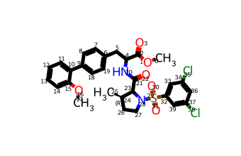 COC(=O)C(Cc1ccc(-c2ccccc2OC)cc1)NC(=O)C1[C@H](C)CCN1S(=O)(=O)c1cc(Cl)cc(Cl)c1